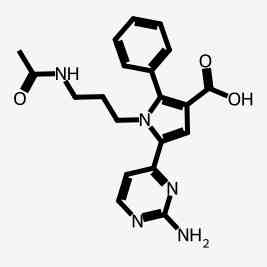 CC(=O)NCCCn1c(-c2ccnc(N)n2)cc(C(=O)O)c1-c1ccccc1